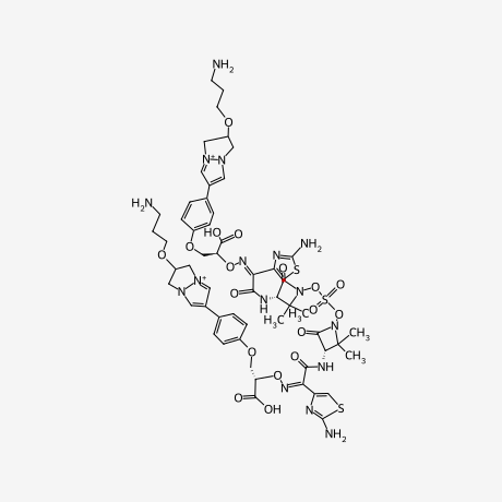 CC1(C)[C@H](NC(=O)/C(=N\O[C@@H](COc2ccc(-c3cn4[n+](c3)CC(OCCCN)C4)cc2)C(=O)O)c2csc(N)n2)C(=O)N1OS(=O)(=O)ON1C(=O)[C@@H](NC(=O)/C(=N\O[C@@H](COc2ccc(-c3cn4[n+](c3)CC(OCCCN)C4)cc2)C(=O)O)c2csc(N)n2)C1(C)C